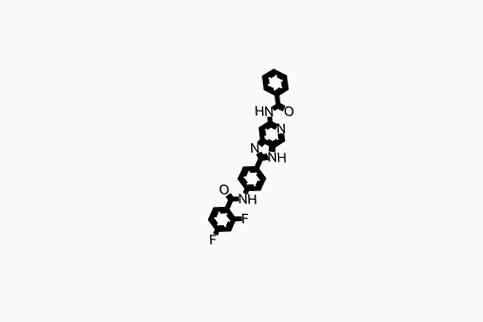 O=C(Nc1cc2nc(-c3ccc(NC(=O)c4ccc(F)cc4F)cc3)[nH]c2cn1)c1ccccc1